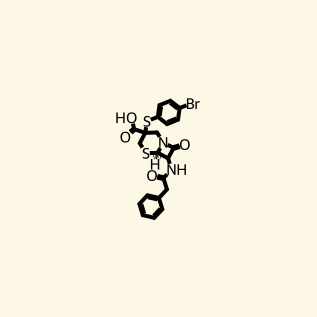 O=C(Cc1ccccc1)NC1C(=O)N2CC(Sc3ccc(Br)cc3)(C(=O)O)CS[C@H]12